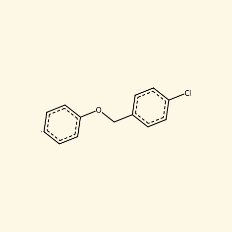 Clc1ccc(COc2cc[c]cc2)cc1